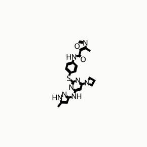 Cc1cc(Nc2cc(N3CCC3)nc(Sc3ccc(NC(=O)c4ocnc4C)cc3)n2)n[nH]1